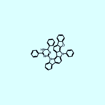 c1ccc(C2=NC(n3c4ccccc4c4ccc5c(c6ccc7c8ccccc8oc7c6n5-c5ccccc5)c43)=NC(c3ccccc3)N2)cc1